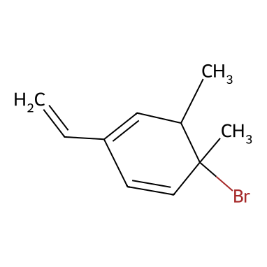 C=CC1=CC(C)C(C)(Br)C=C1